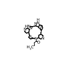 CCCC(=O)n1c2cncc(c2)c2ccc3[nH]nc(c4nc5c(nccc5c5ccc1s5)[nH]4)c3c2F